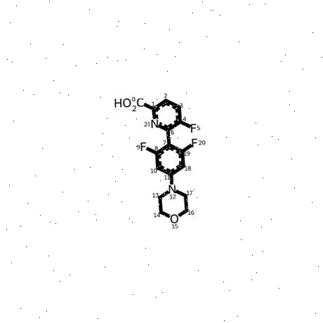 O=C(O)c1ccc(F)c(-c2c(F)cc(N3CCOCC3)cc2F)n1